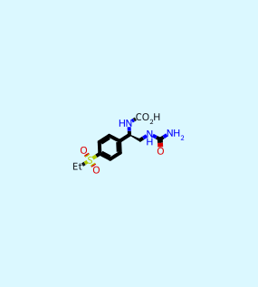 CCS(=O)(=O)c1ccc([C@H](CNC(N)=O)NC(=O)O)cc1